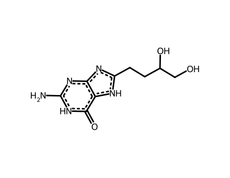 Nc1nc2nc(CCC(O)CO)[nH]c2c(=O)[nH]1